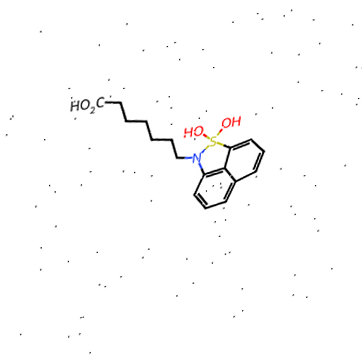 O=C(O)CCCCCCN1c2cccc3cccc(c23)S1(O)O